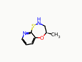 C[C@@H]1CNSc2ncccc2O1